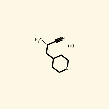 C[C@H](C#N)CC1CCNCC1.Cl